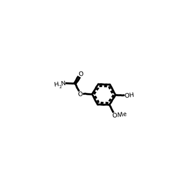 COc1cc(OC(N)=O)ccc1O